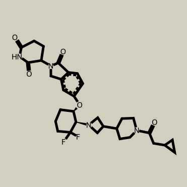 O=C1CCC(N2Cc3cc(O[C@@H]4CCCC(F)(F)[C@@H]4N4CC(C5CCN(C(=O)CC6CC6)CC5)C4)ccc3C2=O)C(=O)N1